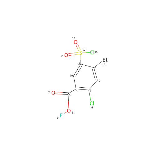 CCc1cc(Cl)c(C(=O)OF)cc1S(=O)(=O)Cl